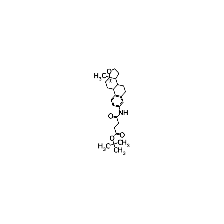 CC(C)(C)OC(=O)CCC(=O)Nc1ccc2c(c1)CCC1C2CC[C@]2(C)OCCC12